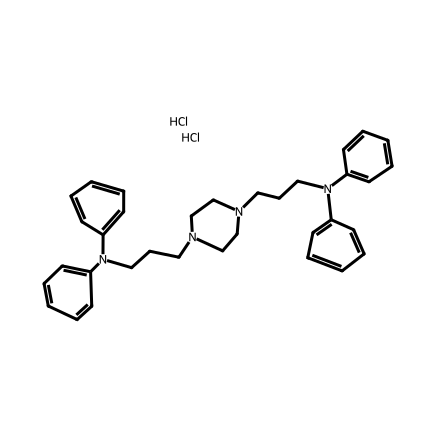 Cl.Cl.c1ccc(N(CCCN2CCN(CCCN(c3ccccc3)c3ccccc3)CC2)c2ccccc2)cc1